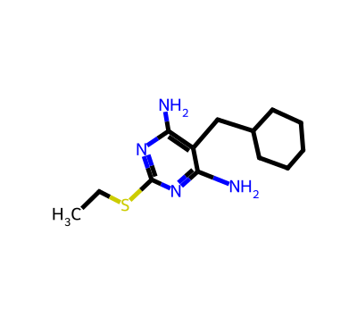 CCSc1nc(N)c(CC2CCCCC2)c(N)n1